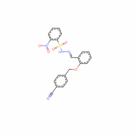 N#Cc1ccc(COc2ccccc2C=NNS(=O)(=O)c2ccccc2[N+](=O)[O-])cc1